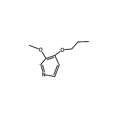 CCCOc1ccn[c]c1OC